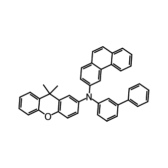 CC1(C)c2ccccc2Oc2ccc(N(c3cccc(-c4ccccc4)c3)c3ccc4ccc5ccccc5c4c3)cc21